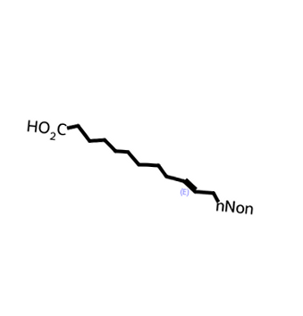 CCCCCCCCCC/C=C/CCCCCCCCC(=O)O